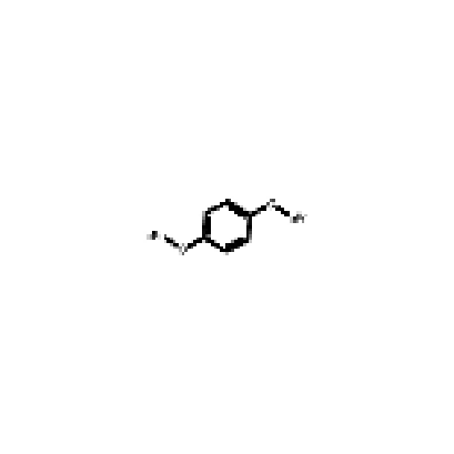 CCCOc1[c]cc(OCCC)[c]c1